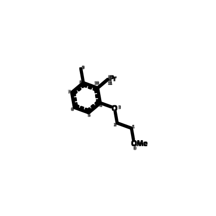 COCCOc1cccc(C)c1C(C)C